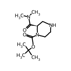 CN(C)C(=O)[C@H]1CNCCN1C(=O)OC(C)(C)C